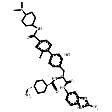 Cc1cc(C(=O)NC2CCC(N(C)C)CC2)ccc1-c1ccc(C[C@H](NC(=O)[C@H]2CC[C@H](CN)CC2)C(=O)Nc2ccc3[nH]c(C(F)(F)F)nc3c2)cc1.Cl